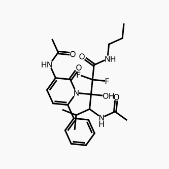 CCCNC(=O)C(F)(F)C(O)(C(NC(C)=O)C(C)C)n1c(-c2ccccc2)ccc(NC(C)=O)c1=O